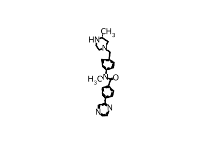 C[C@H]1CN(Cc2ccc(N(C)C(=O)c3ccc(-c4cnccn4)cc3)cc2)CCN1